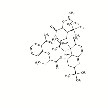 CCC(Oc1ccccc1C(C)=O)C(=O)O[C@H]1C[C@H](C(C)(C)C)C=C2C=C[C@H](C)[C@](CC[C@@H]3C[C@H](C(C)(C)C)C(O[SiH](C)C)C(=O)O3)(O[SiH](C)C)[C@H]21